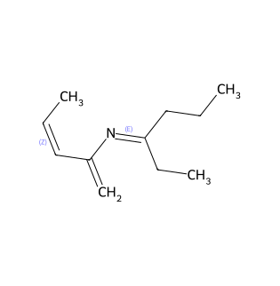 C=C(/C=C\C)/N=C(\CC)CCC